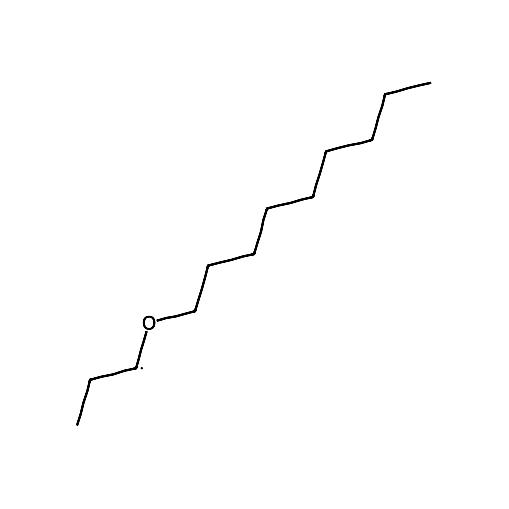 CC[CH]OCCCCCCCCC